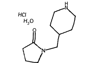 Cl.O.O=C1CCCN1CC1CCNCC1